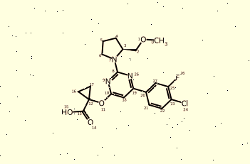 COC[C@@H]1CCCN1c1nc(OC2(C(=O)O)CC2)cc(-c2ccc(Cl)c(F)c2)n1